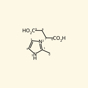 Cc1ncc[nH]1.O=C(O)CCC(=O)O